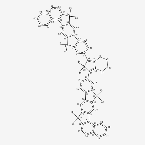 CC1(C)c2cc(C3=C4CCCCC4=C(c4ccc5c(c4)C(C)(C)c4cc6c(cc4-5)C(C)(C)c4ccc5ccccc5c4-6)S3(C)C)ccc2-c2cc3c(cc21)-c1c(ccc2ccccc12)C3(C)C